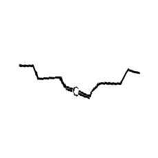 CCCCC=C=CCCCC